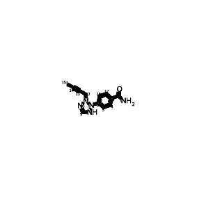 NC(=O)c1ccc(N2NC=NN2CC#CI)cc1